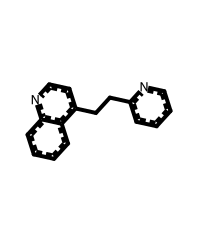 c1ccc(CCc2ccnc3ccccc23)nc1